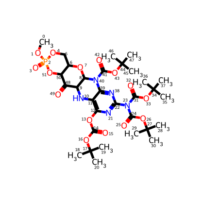 COP1(=O)OCC2OC3C(Nc4c(OC(=O)OC(C)(C)C)nc(N(C(=O)OC(C)(C)C)C(=O)OC(C)(C)C)nc4N3C(=O)OC(C)(C)C)C(=O)C2O1